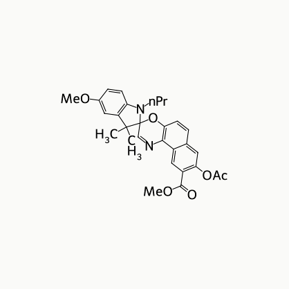 CCCN1c2ccc(OC)cc2C(C)(C)C12C=Nc1c(ccc3cc(OC(C)=O)c(C(=O)OC)cc13)O2